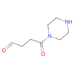 O=CCCC(=O)N1CCNCC1